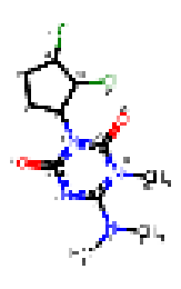 CN(C)c1nc(=O)n(C2CCC(Cl)C2Cl)c(=O)n1C